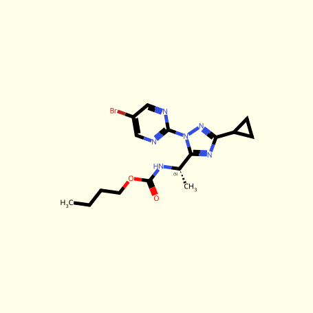 CCCCOC(=O)N[C@@H](C)c1nc(C2CC2)nn1-c1ncc(Br)cn1